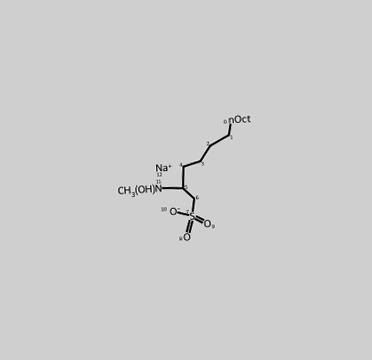 CCCCCCCCCCCCC(CS(=O)(=O)[O-])N(C)O.[Na+]